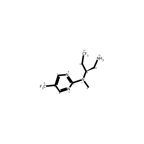 CN(c1ncc(C(F)(F)F)cn1)[C@H](CN)CC(F)(F)F